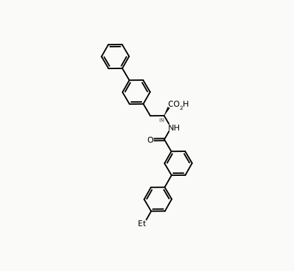 CCc1ccc(-c2cccc(C(=O)N[C@@H](Cc3ccc(-c4ccccc4)cc3)C(=O)O)c2)cc1